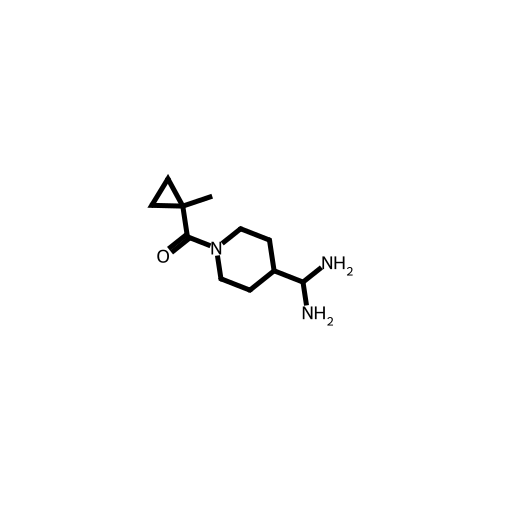 CC1(C(=O)N2CCC(C(N)N)CC2)CC1